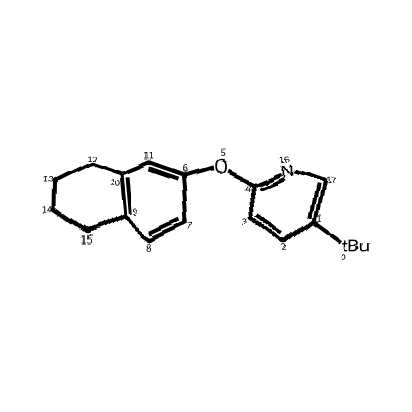 CC(C)(C)c1ccc(Oc2ccc3c(c2)CCCC3)nc1